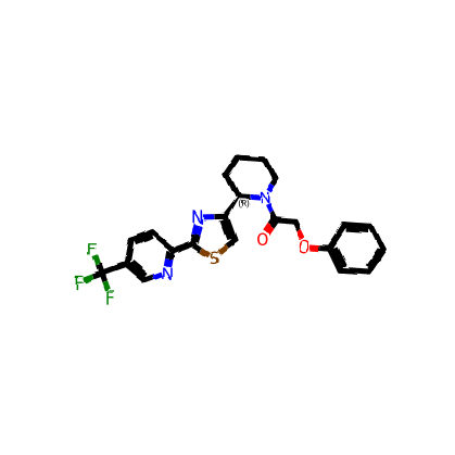 O=C(COc1ccccc1)N1CCCC[C@@H]1c1csc(-c2ccc(C(F)(F)F)cn2)n1